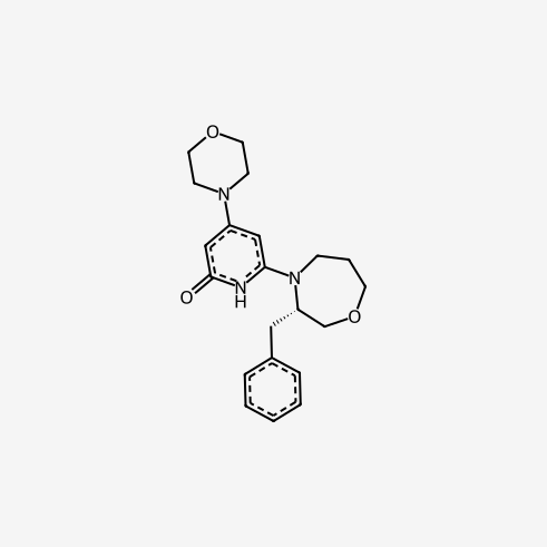 O=c1cc(N2CCOCC2)cc(N2CCCOC[C@@H]2Cc2ccccc2)[nH]1